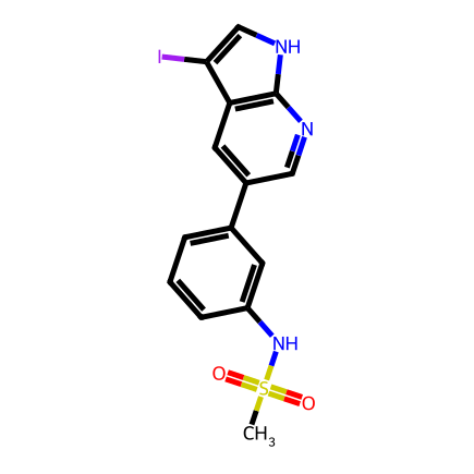 CS(=O)(=O)Nc1cccc(-c2cnc3[nH]cc(I)c3c2)c1